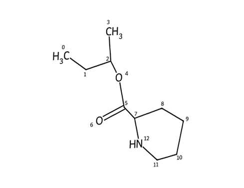 CCC(C)OC(=O)C1CCCCN1